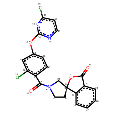 O=C1O[C@]2(CCN(C(=O)c3ccc(Oc4nccc(Cl)n4)cc3Cl)C2)c2ccccc21